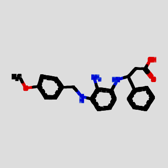 COc1ccc(CNc2cccc(NC(CC(=O)O)c3ccccc3)c2N)cc1